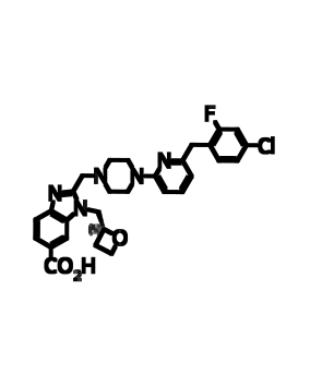 O=C(O)c1ccc2nc(CN3CCN(c4cccc(Cc5ccc(Cl)cc5F)n4)CC3)n(C[C@@H]3CCO3)c2c1